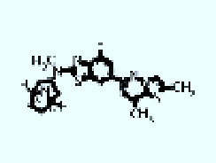 Cc1cn2nc(-c3cc(F)c4nc(N(C)[C@@H]5C[C@H]6CC[C@@H](C5)N6)sc4c3)cc(C)c2n1